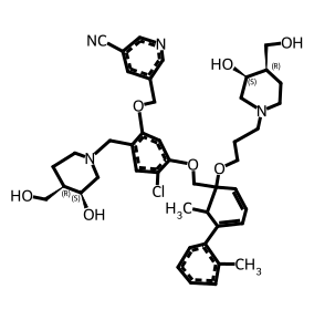 Cc1ccccc1C1=CC=CC(COc2cc(OCc3cncc(C#N)c3)c(CN3CC[C@H](CO)[C@H](O)C3)cc2Cl)(OCCCN2CC[C@H](CO)[C@H](O)C2)C1C